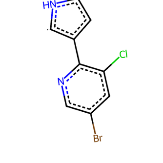 Clc1cc(Br)cnc1-c1[c][nH]cc1